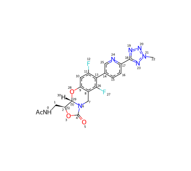 CC(=O)NC[C@@H]1OC(=O)N2Cc3c(cc(F)c(-c4ccc(-c5nnn(C)n5)nc4)c3F)O[C@@H]12